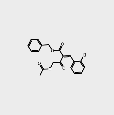 CC(=O)OCC(=O)C(=Cc1ccccc1Cl)C(=O)OCc1ccccc1